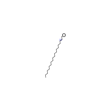 CCCCCCCCCCCCCCCCC/C=C/C=O